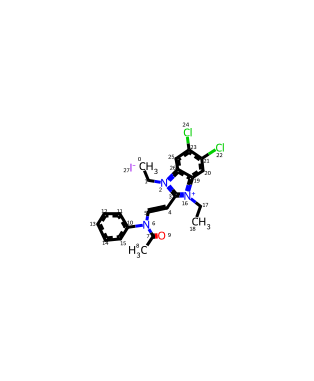 CCn1c(C=CN(C(C)=O)c2ccccc2)[n+](CC)c2cc(Cl)c(Cl)cc21.[I-]